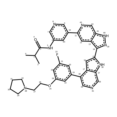 CC(C)C(=O)Nc1cncc(-c2cc3c(-c4cc5c(-c6cc(F)cc(OCCN7CCCC7)c6)cncc5[nH]4)n[nH]c3cn2)c1